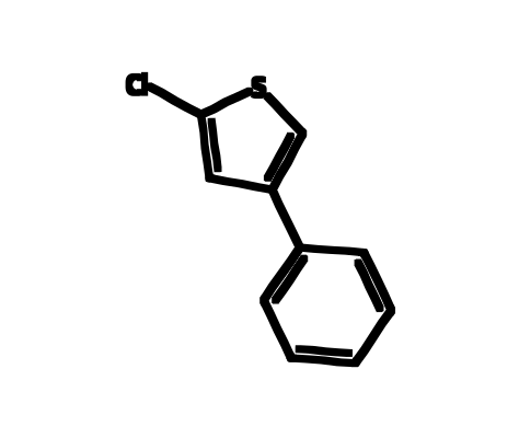 Clc1cc(-c2ccccc2)cs1